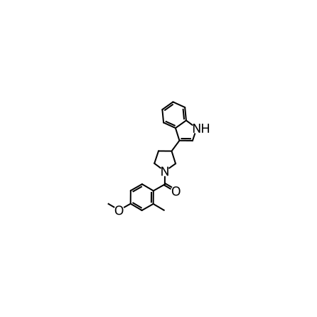 COc1ccc(C(=O)N2CCC(c3c[nH]c4ccccc34)C2)c(C)c1